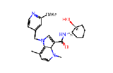 COc1cc(CN2C=C(C(=O)N[C@H]3CCCC[C@@H]3O)C3C2=C(C)C=CN3C)ccn1